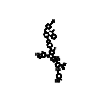 CC(C)c1ccccc1[C@@H]1CN(Cc2ccc(C#N)cc2)CCN1C1CC2(CCN(c3cc(Oc4cnc5[nH]ccc5c4)c(C(=O)NS(=O)(=O)c4ccc(NCC5CCC(C)(O)CC5)c([N+](=O)[O-])c4)cc3F)CC2)C1